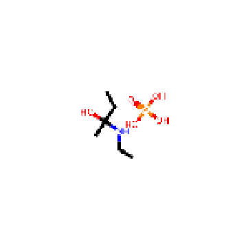 CCNC(C)(O)CC.O=P(O)(O)O